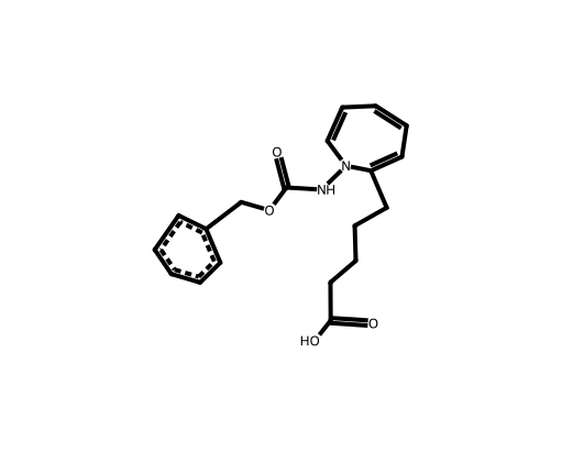 O=C(O)CCCCC1=CC=CC=CN1NC(=O)OCc1ccccc1